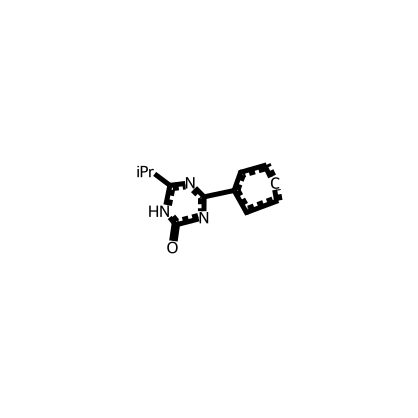 CC(C)c1nc(-c2ccccc2)nc(=O)[nH]1